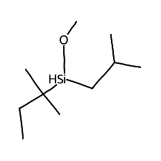 CCC(C)(C)[SiH](CC(C)C)OC